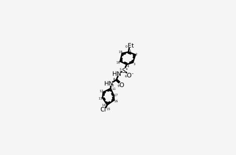 CCc1ccc([S+]([O-])NC(=O)Nc2ccc(Cl)cc2)cc1